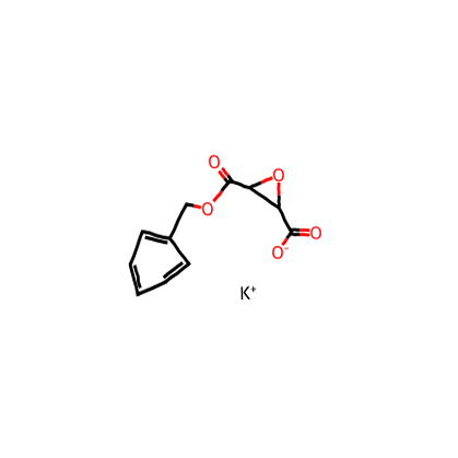 O=C([O-])C1OC1C(=O)OCc1ccccc1.[K+]